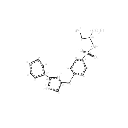 CCOC(=O)[C@H](CC(C)C)NS(=O)(=O)c1ccc(Cc2c[nH]c(-c3ccccc3)n2)cc1